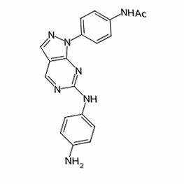 CC(=O)Nc1ccc(-n2ncc3cnc(Nc4ccc(N)cc4)nc32)cc1